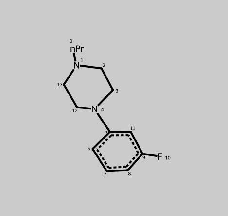 CCCN1CCN(c2cccc(F)c2)CC1